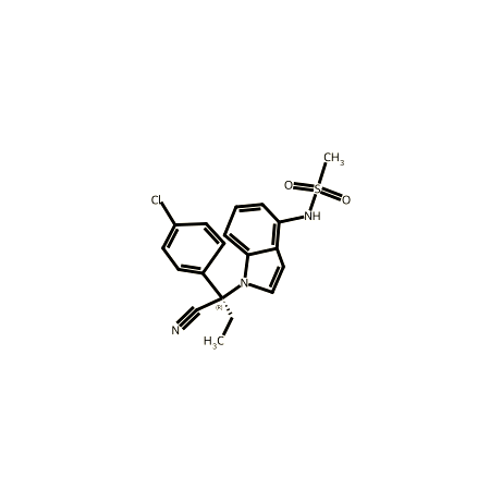 CC[C@](C#N)(c1ccc(Cl)cc1)n1ccc2c(NS(C)(=O)=O)cccc21